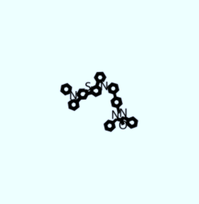 c1ccc(-c2nc(-c3ccc(-c4cccc(-n5c6ccccc6c6c7sc8cc9c(cc8c7ccc65)c5ccccc5n9-c5ccccc5)c4)cc3)nc3c2oc2ccccc23)cc1